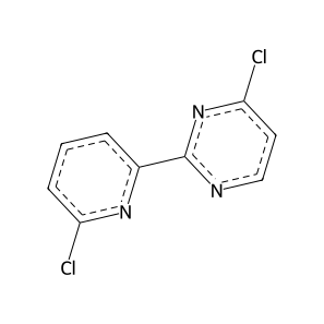 Clc1cccc(-c2nccc(Cl)n2)n1